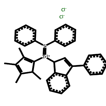 CC1=C(C)C(C)[C]([Zr+2]([CH]2C=C(c3ccccc3)c3ccccc32)=[Si](c2ccccc2)c2ccccc2)=C1C.[Cl-].[Cl-]